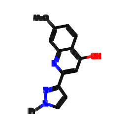 COc1ccc2c(O)cc(-c3ccn(C(C)C)n3)nc2c1